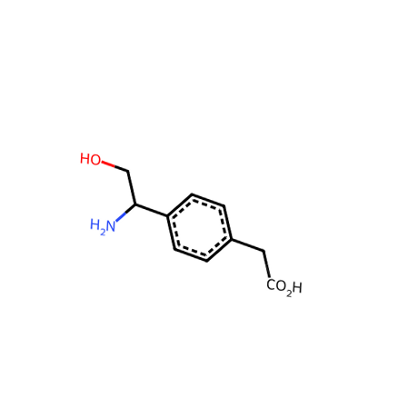 NC(CO)c1ccc(CC(=O)O)cc1